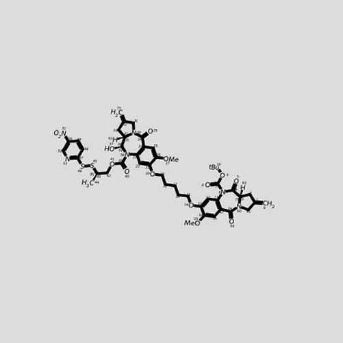 C=C1C[C@H]2C(=O)N(C(=O)OC(C)(C)C)c3cc(OCCCCCOc4cc5c(cc4OC)C(=O)N4CC(=C)C[C@H]4[C@H](O)N5C(=O)OC[C@@H](C)SSc4ccc([N+](=O)[O-])cn4)c(OC)cc3C(=O)N2C1